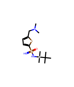 CN(C)Cc1ccc(S(=N)(=O)N[Si](C)(C)C(C)(C)C)s1